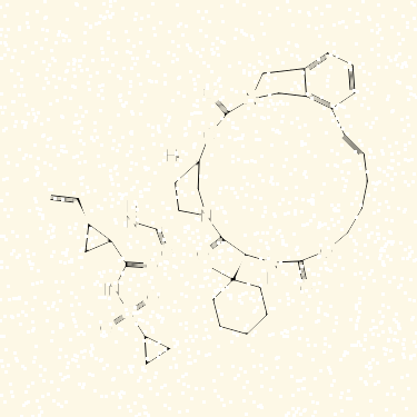 C=C[C@@H]1C[C@]1(NC(=O)[C@@H]1C[C@@H]2CN1C(=O)[C@H](C1(C)CCCCC1)NC(=O)OCCC/C=C/c1cccc3c1CN(C3)C(=O)O2)C(=O)NS(=O)(=O)C1CC1